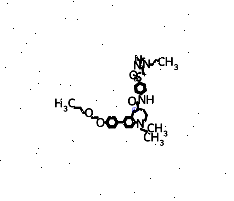 CCCCOCCOc1ccc(-c2ccc3c(c2)/C=C(/C(=O)Nc2ccc([S@@+]([O-])Cc4nncn4CCC)cc2)CCCN3CC(C)C)cc1